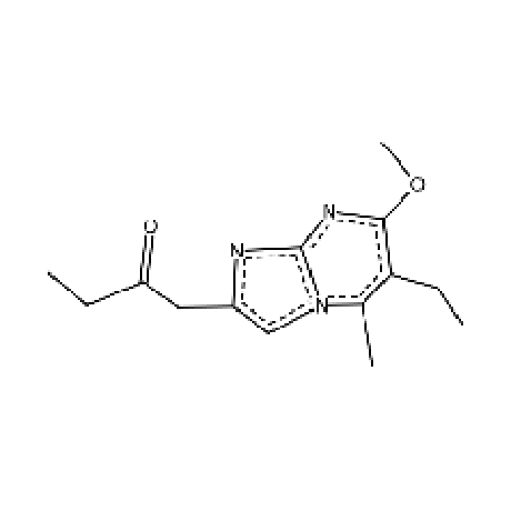 CCC(=O)Cc1cn2c(C)c(CC)c(OC)nc2n1